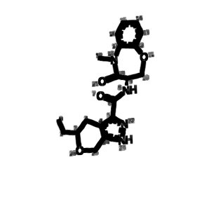 CCC1Cc2c(C(=O)N[C@H]3COc4ccccc4N(C)C3=O)n[nH]c2CO1